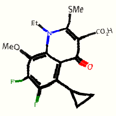 CCn1c(SC)c(C(=O)O)c(=O)c2c(C3CC3)c(F)c(F)c(OC)c21